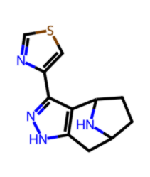 c1nc(-c2n[nH]c3c2C2CCC(C3)N2)cs1